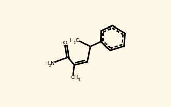 CC(=CC(C)c1ccccc1)C(N)=O